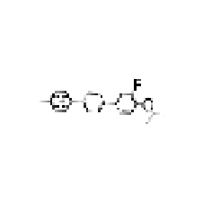 CC(C)Oc1ccc(-c2ccc(C34CCC(C)(CC3)CC4)cc2)cc1F